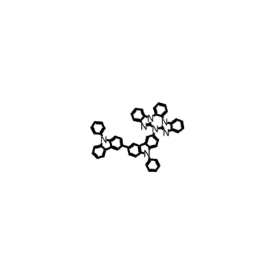 c1ccc(-n2c3ccccc3c3cc(-c4ccc5c(c4)c4cc(-n6c7nc8ccccc8n7c7ccccc7n7c8ccccc8nc67)ccc4n5-c4ccccc4)ccc32)cc1